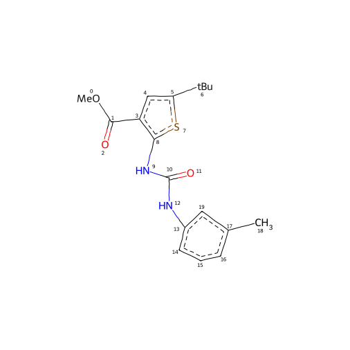 COC(=O)c1cc(C(C)(C)C)sc1NC(=O)Nc1cccc(C)c1